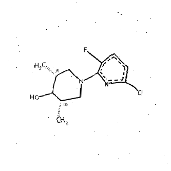 C[C@@H]1CN(c2nc(Cl)ccc2F)C[C@H](C)C1O